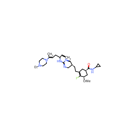 C=CC(C/C=C(\C)N1CCN(CC)CC1)NC1=NC[C@H](CCC2=C(F)[C@H](OC)C[C@H](C(=O)NC3CC3)C2)C=N1